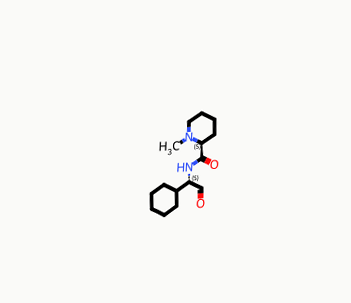 CN1CCCC[C@H]1C(=O)N[C@H](C=O)C1CCCCC1